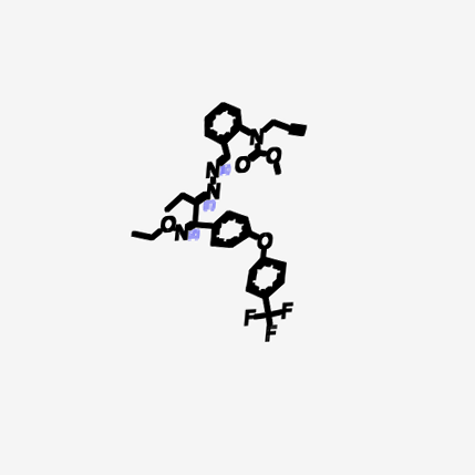 C#CCN(C(=O)OC)c1ccccc1/C=N/N=C(CC)/C(=N\OCC)c1ccc(Oc2ccc(C(F)(F)F)cc2)cc1